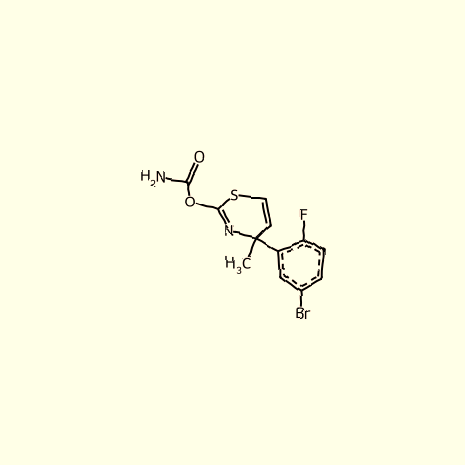 CC1(c2cc(Br)ccc2F)C=CSC(OC(N)=O)=N1